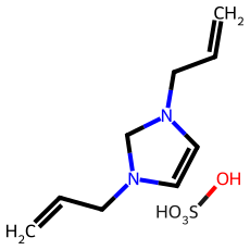 C=CCN1C=CN(CC=C)C1.O=S(=O)(O)O